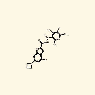 Cc1nc(N)c([S+]([O-])NC(=O)c2cc3c(F)cc(N4CCC4)cc3o2)c(C)c1Cl